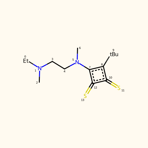 CCN(C)CCN(C)c1c(C(C)(C)C)c(=S)c1=S